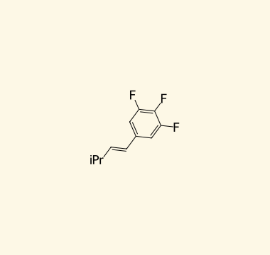 CC(C)/C=C/c1cc(F)c(F)c(F)c1